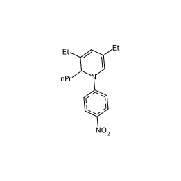 CCCC1C(CC)=CC(CC)=CN1c1ccc([N+](=O)[O-])cc1